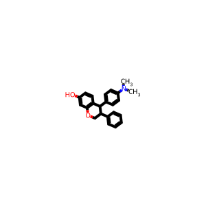 CN(C)c1ccc(C2c3ccc(O)cc3OCC2c2ccccc2)cc1